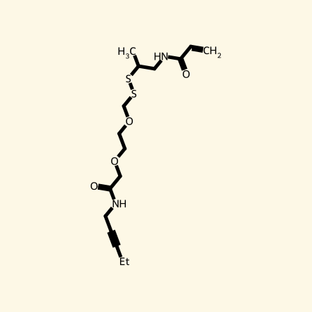 C=CC(=O)NCC(C)SSCOCCOCC(=O)NCC#CCC